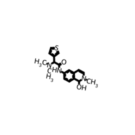 CN(C)C(C(=O)Nc1ccc2c(c1)C=CN(C)C2O)c1ccsc1